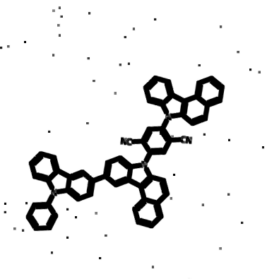 N#Cc1cc(-n2c3ccc(-c4ccc5c(c4)c4ccccc4n5-c4ccccc4)cc3c3c4ccccc4ccc32)c(C#N)cc1-n1c2ccccc2c2c3ccccc3ccc21